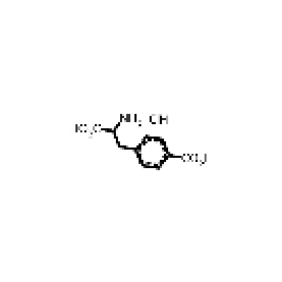 Cl.NC(Cc1ccc(C(=O)O)cc1)C(=O)O